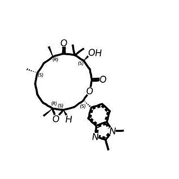 Cc1nc2cc([C@@H]3C[C@@H]4O[C@]4(C)CCC[C@H](C)C[C@@H](C)C(=O)C(C)(C)[C@@H](O)CC(=O)O3)ccc2n1C